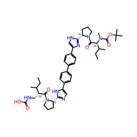 CCC(C)[C@@H](C(=O)N1CCC[C@H]1c1nc(-c2ccc(-c3ccc(-c4cnc([C@@H]5CCCN5C(=O)[C@H](CNC(=O)O)C(C)CC)[nH]4)cc3)cc2)c[nH]1)N(C)C(=O)OC(C)(C)C